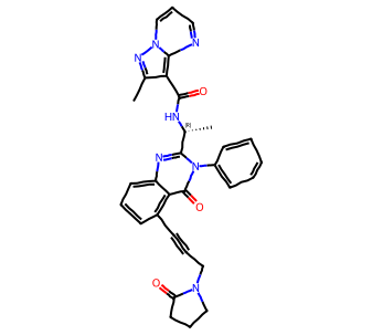 Cc1nn2cccnc2c1C(=O)N[C@H](C)c1nc2cccc(C#CCN3CCCC3=O)c2c(=O)n1-c1ccccc1